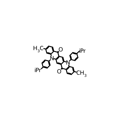 Cc1ccc2c(=O)c3cc4c(cc3n(-c3ccc(C(C)C)cc3)c2c1)c(=O)c1ccc(C)cc1n4-c1ccc(C(C)C)cc1